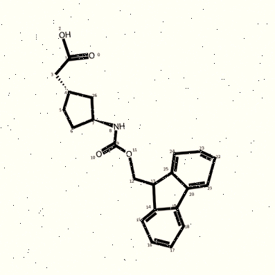 O=C(O)C[C@H]1CC[C@H](NC(=O)OCC2c3ccccc3-c3ccccc32)C1